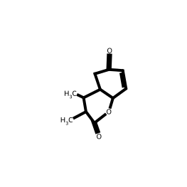 CC1C(=O)OC2C=CC(=O)CC2C1C